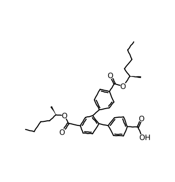 CCCC[C@@H](C)OC(=O)c1ccc(-c2cc(C(=O)O[C@H](C)CCCC)ccc2-c2ccc(C(=O)O)cc2)cc1